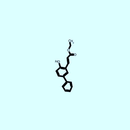 CCOC(=O)/C=C/c1cc(-c2ccccc2)ccc1O